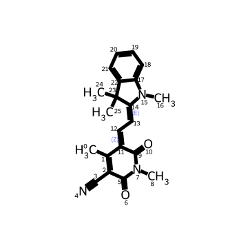 CC1=C(C#N)C(=O)N(C)C(=O)/C1=C\C=C1\N(C)c2ccccc2C1(C)C